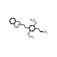 C=CCc1cc(OC)c(CCNCc2ccccc2O)cc1OC